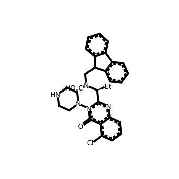 CC[C@@H](c1nc2cccc(Cl)c2c(=O)n1N1CCNCC1)N(CC1c2ccccc2-c2ccccc21)C(=O)O